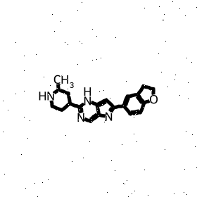 CC1CC(c2ncc3nc(-c4ccc5c(c4)CCO5)cc-3[nH]2)CCN1